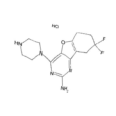 Cl.Nc1nc(N2CCNCC2)c2oc3c(c2n1)CC(F)(F)CC3